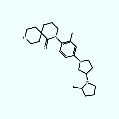 Cc1cc(N2CC[C@@H](N3CCC[C@H]3C)C2)ccc1N1CCCC2(CCOCC2)C1=O